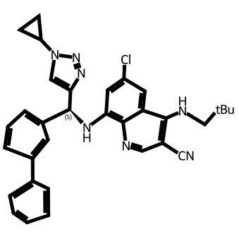 CC(C)(C)CNc1c(C#N)cnc2c(N[C@@H](c3cccc(-c4ccccc4)c3)c3cn(C4CC4)nn3)cc(Cl)cc12